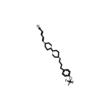 N#CC=CC=C[C@H]1CC[C@H]([C@H]2CC[C@H](CCCCc3ccc(OC(F)(F)F)cc3)CC2)CC1